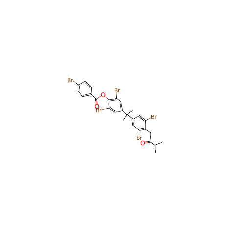 CC(C)C(=O)Cc1c(Br)cc(C(C)(C)c2cc(Br)c(OC(=O)c3ccc(Br)cc3)c(Br)c2)cc1Br